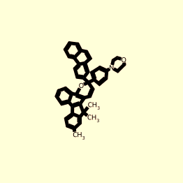 Cc1ccc2c(c1)C(C)(C)c1c3c(c4ccccc4c1-2)OC(c1ccc(N2CCOCC2)cc1)(c1ccc2c(ccc4ccccc42)c1)C=C3